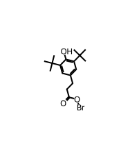 CC(C)(C)c1cc(CCC(=O)OBr)cc(C(C)(C)C)c1O